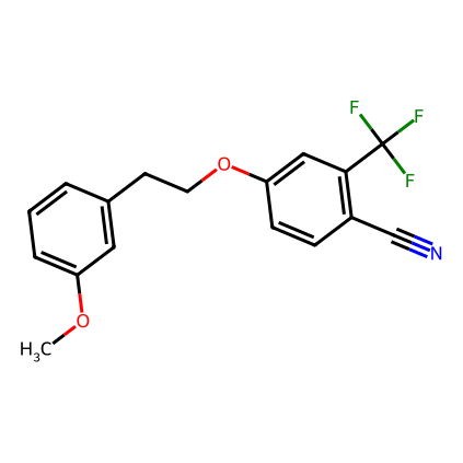 COc1cccc(CCOc2ccc(C#N)c(C(F)(F)F)c2)c1